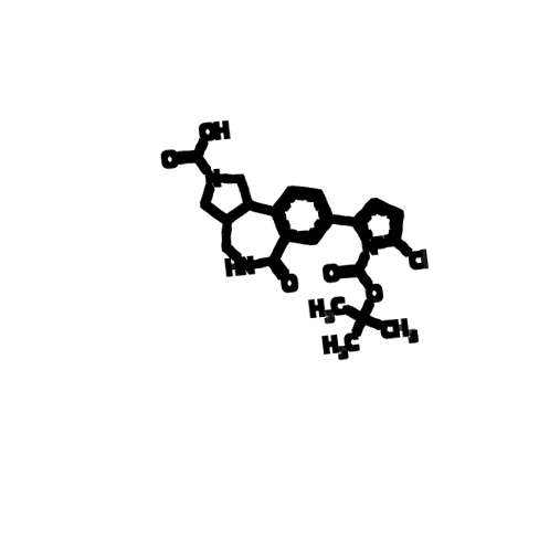 CC(C)(C)OC(=O)n1c(Cl)ccc1-c1ccc2c(c1)C(=O)NCC1CN(C(=O)O)CC21